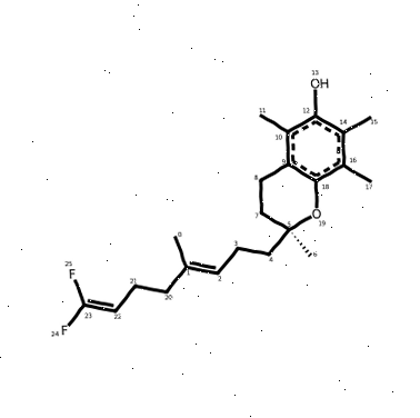 C/C(=C\CC[C@@]1(C)CCc2c(C)c(O)c(C)c(C)c2O1)CCC=C(F)F